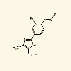 CCOC(=O)c1[se]c(-c2ccc(CSC(C)C)c(Br)c2)nc1C